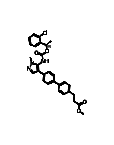 COC(=O)CCc1ccc(-c2ccc(-c3cnn(C)c3NC(=O)O[C@H](C)c3ccccc3Cl)cc2)cc1